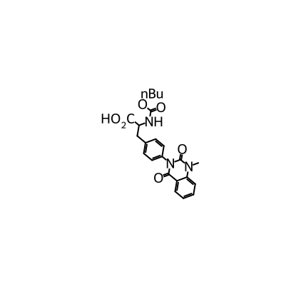 CCCCOC(=O)NC(Cc1ccc(-n2c(=O)c3ccccc3n(C)c2=O)cc1)C(=O)O